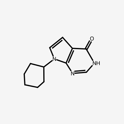 O=c1[nH]cnc2c1ccn2C1CCCCC1